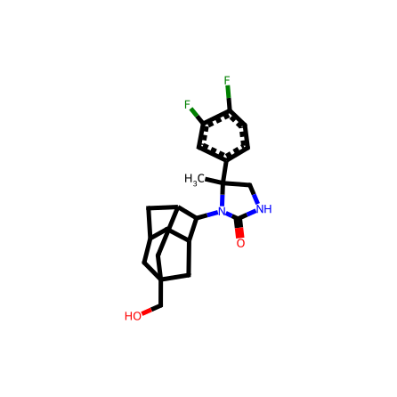 CC1(c2ccc(F)c(F)c2)CNC(=O)N1C1C2CC3CC1CC(CO)(C3)C2